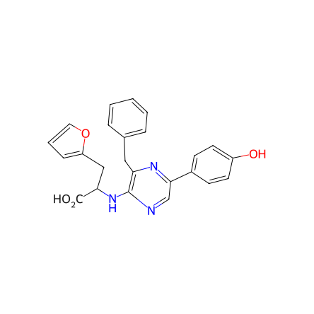 O=C(O)C(Cc1ccco1)Nc1ncc(-c2ccc(O)cc2)nc1Cc1ccccc1